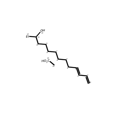 C=CC=CCCCCCCCC(O)CC.CC(=O)O